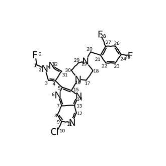 FCn1cc(-c2nc3cc(Cl)ncc3nc2N2CCN(Cc3ccc(F)cc3F)CC2)cn1